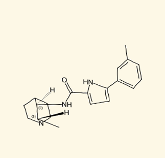 Cc1cccc(-c2ccc(C(=O)N[C@@H]3C4CCN(CC4)[C@H]3C)[nH]2)c1